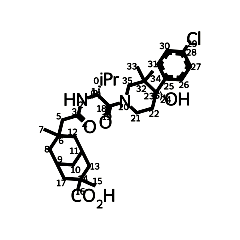 CC(C)[C@@H](NC(=O)CC1(C)CC2CC(C1)CC(C)(C(=O)O)C2)C(=O)N1CC[C@](O)(c2ccc(Cl)cc2)C(C)(C)C1